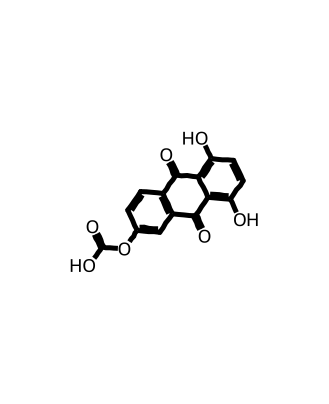 O=C(O)Oc1ccc2c(c1)C(=O)c1c(O)ccc(O)c1C2=O